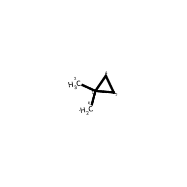 [CH2]C1(C)CC1